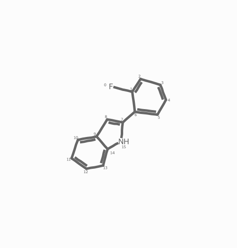 Fc1ccccc1-c1cc2ccccc2[nH]1